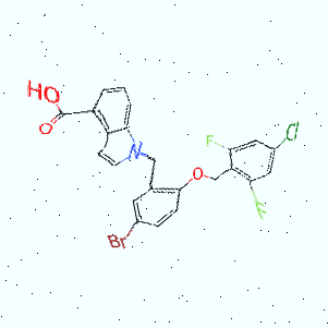 O=C(O)c1cccc2c1ccn2Cc1cc(Br)ccc1OCc1c(F)cc(Cl)cc1F